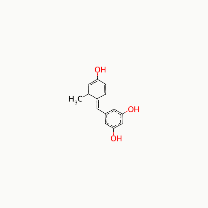 CC1C=C(O)C=CC1=Cc1cc(O)cc(O)c1